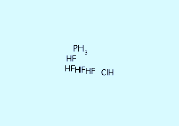 Cl.F.F.F.F.P